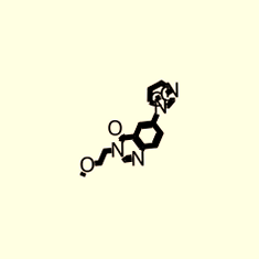 COCCn1cnc2ccc(N3CCN4CCC3CC4)cc2c1=O